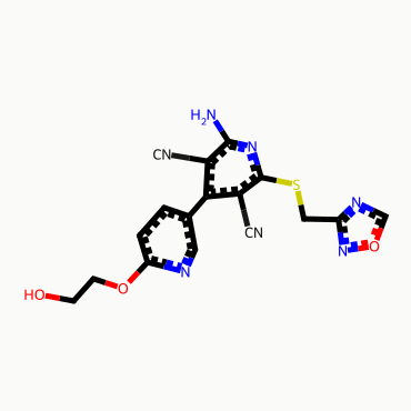 [C-]#[N+]c1c(N)nc(SCc2ncon2)c(C#N)c1-c1ccc(OCCO)nc1